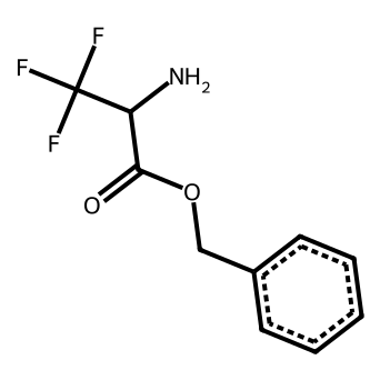 NC(C(=O)OCc1ccccc1)C(F)(F)F